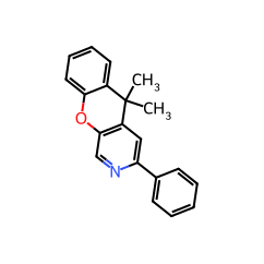 CC1(C)c2ccccc2Oc2cnc(-c3ccccc3)cc21